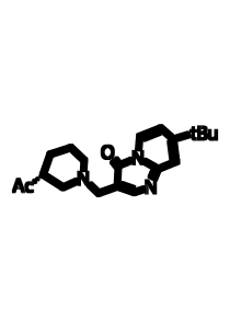 CC(=O)[C@@H]1CCCN(Cc2cnc3cc(C(C)(C)C)ccn3c2=O)C1